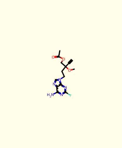 C#CC(CCn1cnc2c(N)nc(F)nc21)(COC(C)=O)OC